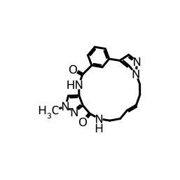 Cn1cc2c(n1)C(=O)NCC/C=C/CCn1cc(cn1)-c1cccc(c1)C(=O)N2